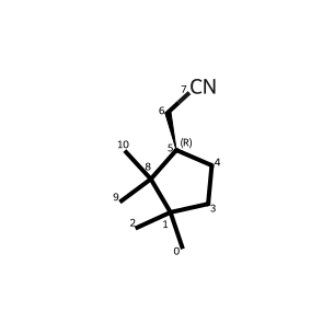 CC1(C)CC[C@H](CC#N)C1(C)C